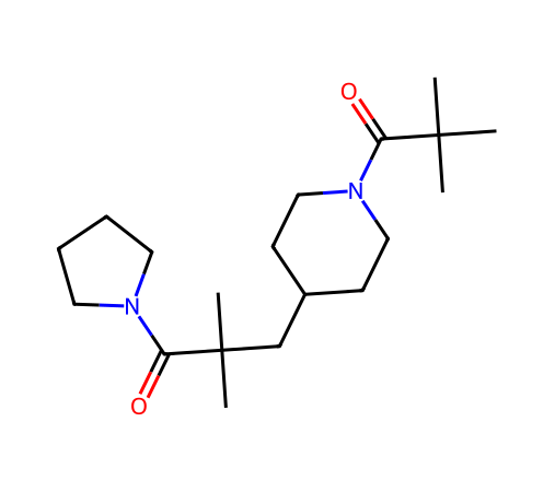 CC(C)(C)C(=O)N1CCC(CC(C)(C)C(=O)N2CCCC2)CC1